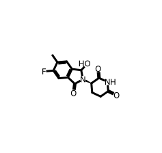 Cc1cc2c(cc1F)C(=O)N([C@@H]1CCC(=O)NC1=O)C2O